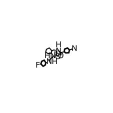 N#Cc1ccc(C(=O)N[C@@H](CC2CCCCC2)C(=O)NCCNc2ccc(F)cc2)cc1